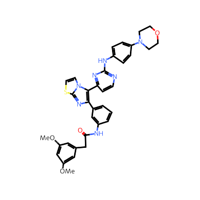 COc1cc(CC(=O)Nc2cccc(-c3nc4sccn4c3-c3ccnc(Nc4ccc(N5CCOCC5)cc4)n3)c2)cc(OC)c1